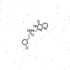 O=c1[nH]c(CNS(=O)(=O)CCc2cccc(Cl)c2)nc2ncccc12